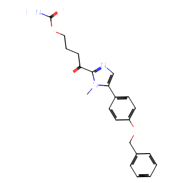 Cn1c(-c2ccc(OCc3ccccc3)cc2)cnc1C(=O)CCCOC(N)=O